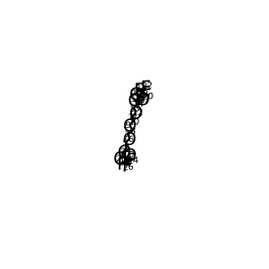 O=S(=O)(OCCOCCOCCOCCOS(=O)(=O)C(F)(F)F)C(F)(F)F